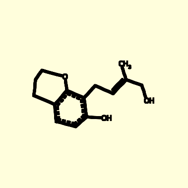 C/C(=C\Cc1c(O)ccc2c1OCCC2)CO